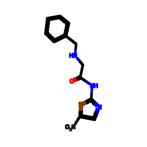 O=C(CNCc1ccccc1)Nc1ncc([N+](=O)[O-])s1